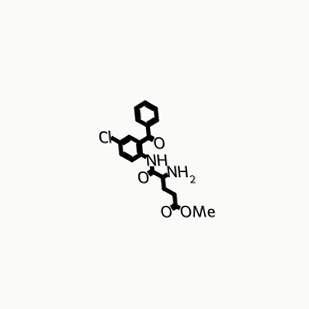 COC(=O)CCC(N)C(=O)Nc1ccc(Cl)cc1C(=O)c1ccccc1